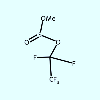 COS(=O)OC(F)(F)C(F)(F)F